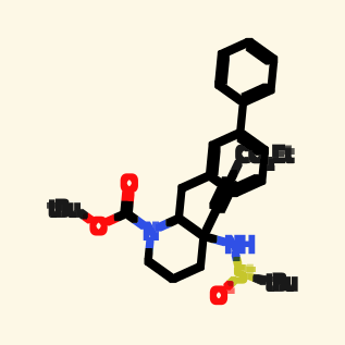 CCOC(=O)C#CC1(N[S@+]([O-])C(C)(C)C)CCCN(C(=O)OC(C)(C)C)C1Cc1cccc(-c2ccccc2)c1